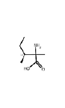 CC[C@H](C)C(C)(N)C(=O)O